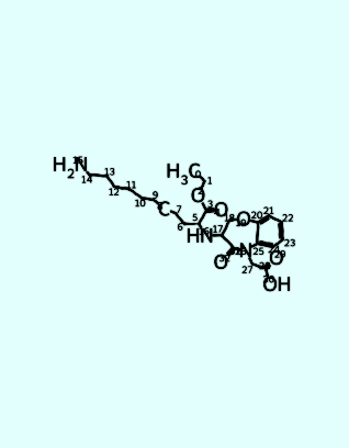 CCOC(=O)[C@H](CCCCCCCCCN)NC1COc2ccccc2N(CC(=O)O)C1=O